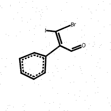 O=CC(=C(Br)I)c1ccccc1